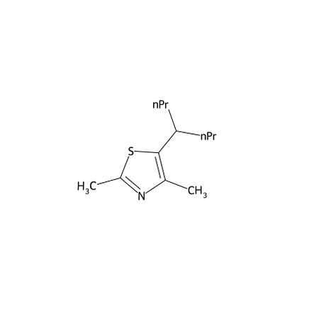 CCCC(CCC)c1sc(C)nc1C